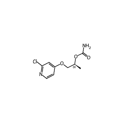 C[C@@H](COc1ccnc(Cl)c1)OC(N)=O